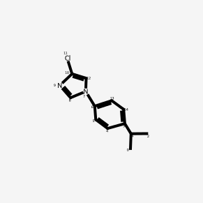 CC(C)c1ccc(-n2cnc(Cl)c2)cc1